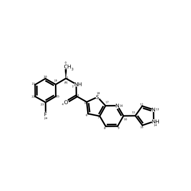 C[C@@H](NC(=O)c1cc2ccc(-c3cn[nH]c3)nc2s1)c1cccc(F)c1